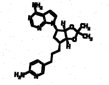 CC1(C)O[C@@H]2[C@@H](CCCc3ccc(N)nc3)C[C@@H](n3ccc4c(N)ncnc43)[C@@H]2O1